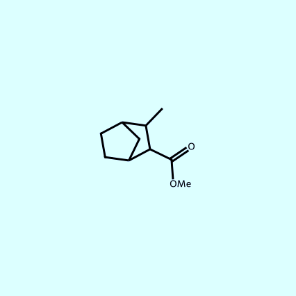 COC(=O)C1C2CCC(C2)C1C